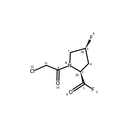 O=C(F)[C@@H]1C[C@H](F)CN1C(=O)CCl